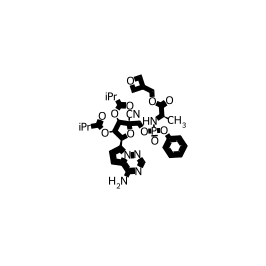 CC(C)C(=O)O[C@H]1[C@H](c2ccc3c(N)ncnn23)O[C@](C#N)(CO[P@@](=O)(N[C@@H](C)C(=O)OCC2COC2)Oc2ccccc2)[C@H]1OC(=O)C(C)C